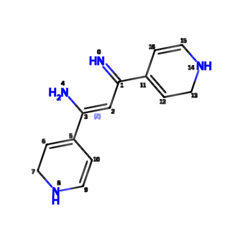 N=C(/C=C(\N)C1=CCNC=C1)C1=CCNC=C1